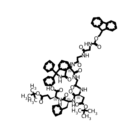 CC(C)(C)OC(=O)CC[C@H](NC(=O)[C@H](Cc1ccccc1)NC(=O)[C@H](CC(=O)OC(C)(C)C)NC(=O)CNC(=O)[C@H](CC(=O)NC(c1ccccc1)(c1ccccc1)c1ccccc1)NC(=O)CNC(=O)CNC(=O)OCC1c2ccccc2-c2ccccc21)C(=O)O